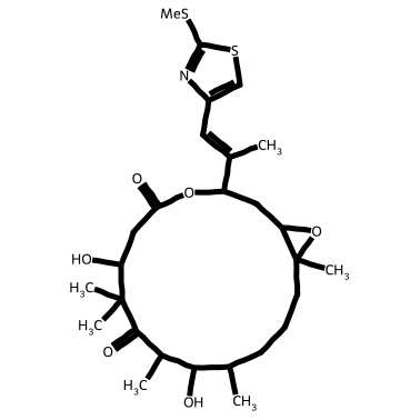 CSc1nc(C=C(C)C2CC3OC3(C)CCCC(C)C(O)C(C)C(=O)C(C)(C)C(O)CC(=O)O2)cs1